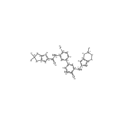 CN1CCn2nc(Nc3cc(-c4ccc(F)c(NC(=O)c5cc6c(s5)CC(C)(C)C6)c4)n[nH]c3=O)cc2C1